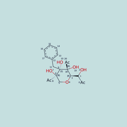 CC(=O)C(O)[C@H]1O[CH][C@](O)(C(C)=O)[C@@](O)(Cc2ccccc2)[C@@]1(O)C(C)=O